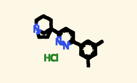 Cc1cc(C)cc(-c2ccc(C34CCCN(CC3)C4)nn2)c1.Cl